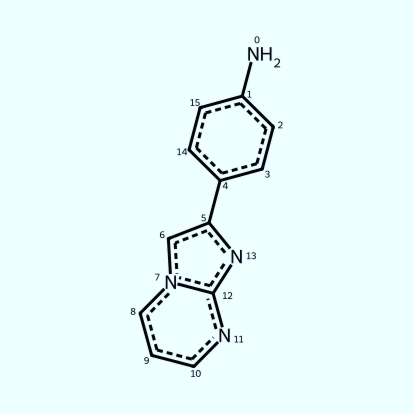 Nc1ccc(-c2cn3cccnc3n2)cc1